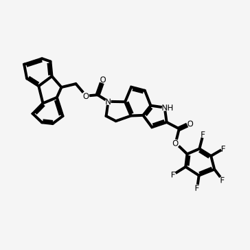 O=C(Oc1c(F)c(F)c(F)c(F)c1F)c1cc2c3c(ccc2[nH]1)N(C(=O)OCC1c2ccccc2-c2ccccc21)CC3